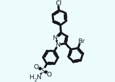 NS(=O)(=O)c1ccc(-n2nc(-c3ccc(Cl)cc3)cc2-c2ccccc2Br)cc1